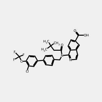 CC(C)(C)CC(=O)N(Cc1ccc(-c2ccc(OC(F)(F)F)c(Cl)c2)cc1)c1nccc2cc(C(=O)O)ccc12